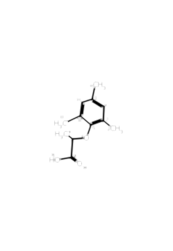 Cc1cc(C)c(OC(C)C(=O)O)c(C)c1